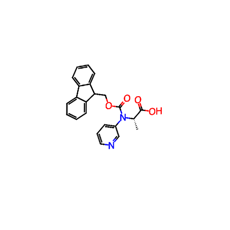 C[C@@H](C(=O)O)N(C(=O)OCC1c2ccccc2-c2ccccc21)c1cccnc1